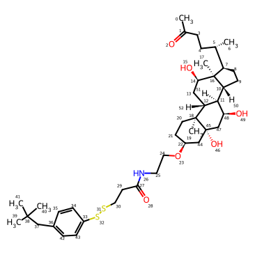 CC(=O)CC[C@H](C)[C@H]1CC[C@@H]2[C@@H]3[C@@H](C[C@@H](O)[C@]21C)[C@]1(C)CC[C@H](OCCNC(=O)CCSSc2ccc(CC(C)(C)C)cc2)C[C@]1(O)C[C@@H]3O